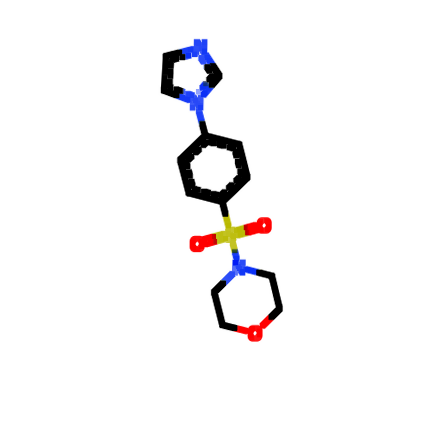 O=S(=O)(c1ccc(-n2ccnc2)cc1)N1CCOCC1